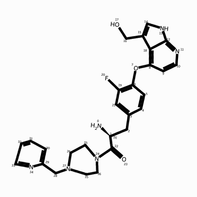 N[C@@H](Cc1ccc(Oc2ccnc3[nH]cc(CO)c23)c(F)c1)C(=O)N1CCN(Cc2ccccn2)CC1